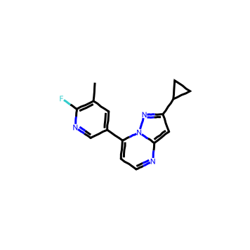 Cc1cc(-c2ccnc3cc(C4CC4)nn23)cnc1F